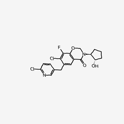 O=C1c2cc(Cc3ccc(Cl)nc3)c(Cl)c(F)c2OCN1[C@H]1CCC[C@@H]1O